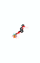 CC1(O)CCCC1C1=CC=C2C(=CC=CC2CC(=O)OCCC(F)C(F)(F)S(=O)(=O)O)C1